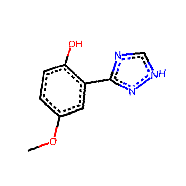 COc1ccc(O)c(-c2nc[nH]n2)c1